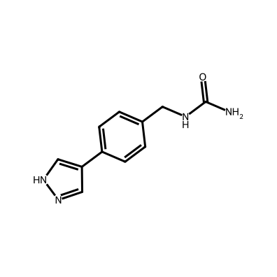 NC(=O)NCc1ccc(-c2cn[nH]c2)cc1